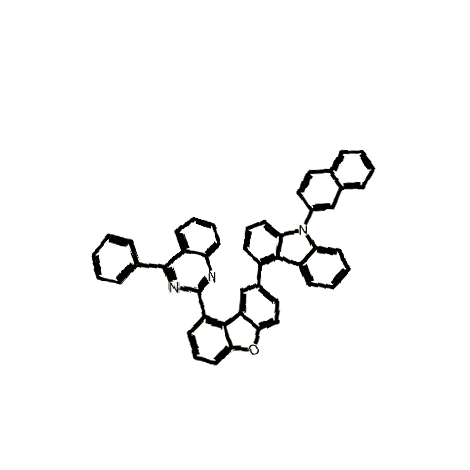 c1ccc(-c2nc(-c3cccc4oc5ccc(-c6cccc7c6c6ccccc6n7-c6ccc7ccccc7c6)cc5c34)nc3ccccc23)cc1